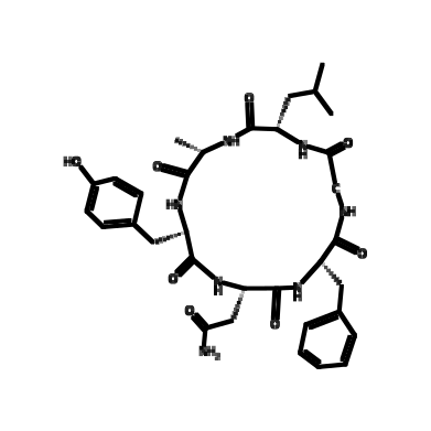 CC(C)C[C@@H]1NC(=O)CNC(=O)[C@H](Cc2ccccc2)NC(=O)[C@H](CC(N)=O)NC(=O)[C@H](Cc2ccc(O)cc2)NC(=O)[C@H](C)NC1=O